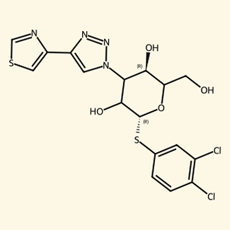 OCC1O[C@H](Sc2ccc(Cl)c(Cl)c2)C(O)C(n2cc(-c3cscn3)nn2)[C@H]1O